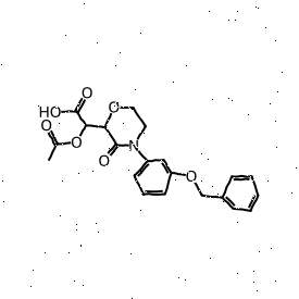 CC(=O)OC(C(=O)O)C1OCCN(c2cccc(OCc3ccccc3)c2)C1=O